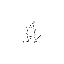 CC[C@H]1CCN(I)CC12CC2